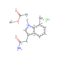 CCC(=O)OC(C)C.Cl.Cn1cc(CC(N)=O)c2cccc([N+](=O)[O-])c21